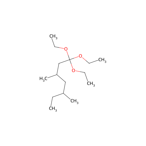 CCOC(CC(C)CC(C)CC)(OCC)OCC